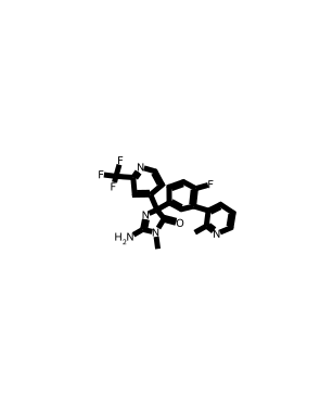 Cc1ncccc1-c1cc(C2(c3ccnc(C(F)(F)F)c3)N=C(N)N(C)C2=O)ccc1F